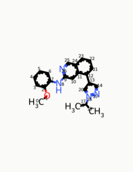 COc1c[c]ccc1Nc1cc2c(-c3cnn(C(C)C)c3)cccc2cn1